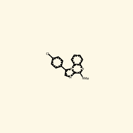 CNc1nc2ccccc2n2c(-c3ccc(Cl)cc3)cnc12